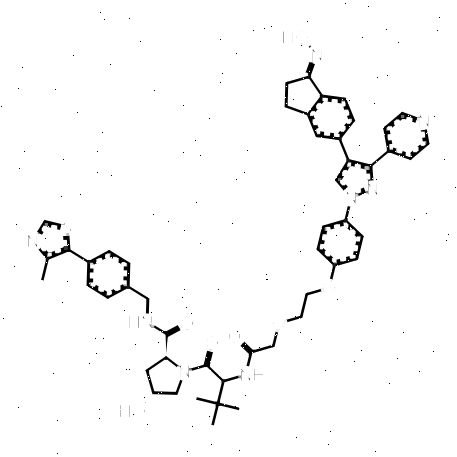 Cc1ncsc1-c1ccc(CNC(=O)[C@@H]2C[C@@H](O)CN2C(=O)C(NC(=O)COCCOc2ccc(-n3cc(-c4ccc5c(c4)CC/C5=N\O)c(-c4ccncc4)n3)cc2)C(C)(C)C)cc1